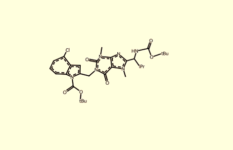 CC(C)C(NC(=O)OC(C)(C)C)c1nc2c(c(=O)n(Cc3cc4c(Cl)cccc4n3C(=O)OC(C)(C)C)c(=O)n2C)n1C